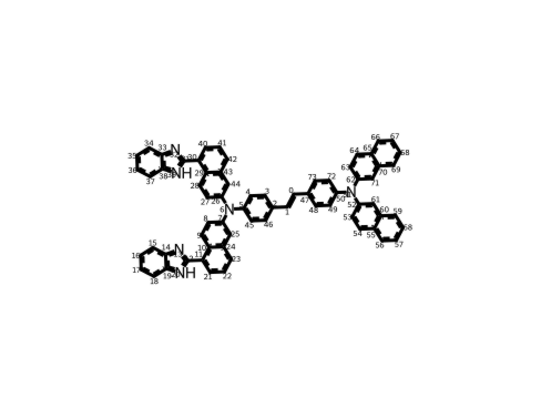 C(=C\c1ccc(N(c2ccc3c(-c4nc5ccccc5[nH]4)cccc3c2)c2ccc3c(-c4nc5ccccc5[nH]4)cccc3c2)cc1)/c1ccc(N(c2ccc3ccccc3c2)c2ccc3ccccc3c2)cc1